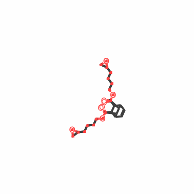 O=C(OCCCCC1CO1)C1C2C=CC(C1C(=O)OCCCCC1CO1)C(C(=O)OCCCCC1CO1)C2C(=O)OCCCCC1CO1